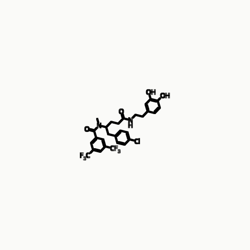 CN(C(=O)c1cc(C(F)(F)F)cc(C(F)(F)F)c1)C(CCC(=O)NCCc1ccc(O)c(O)c1)Cc1ccc(Cl)cc1